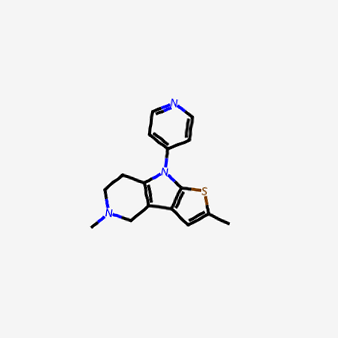 Cc1cc2c3c(n(-c4ccncc4)c2s1)CCN(C)C3